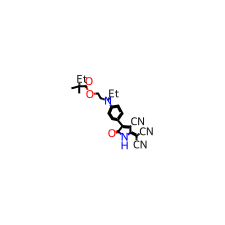 CCN(CCOC(=O)C(C)(C)CC)c1ccc(C2=C(C#N)C(=C(C#N)C#N)NC2=O)cc1